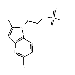 CS(=O)(=O)OCCn1c(I)cc2cc(Br)ccc21